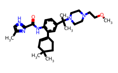 COCCN1CCN(C(C)(C)c2ccc(NC(=O)c3nc(C)c[nH]3)c(C3=CCC(C)(C)CC3)c2)CC1